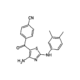 Cc1ccc(Nc2nc(N)c(C(=O)c3ccc(C#N)cc3)s2)cc1C